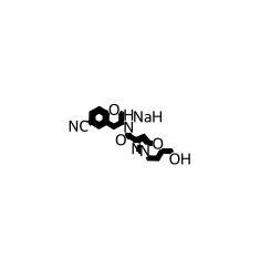 N#Cc1ccc2c(c1)C[C@@H](NC(=O)c1cc3n(n1)CCC(CO)O3)CO2.[NaH]